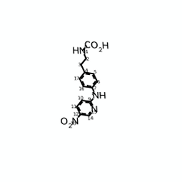 O=C(O)NCCc1ccc(Nc2ccc([N+](=O)[O-])cn2)cc1